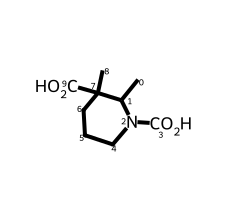 CC1N(C(=O)O)CCCC1(C)C(=O)O